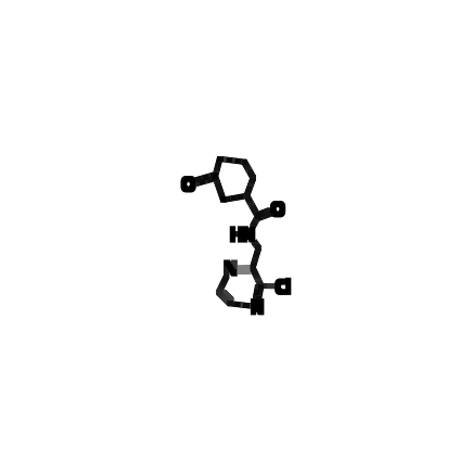 O=C1CCCC(C(=O)NCc2nccnc2Cl)C1